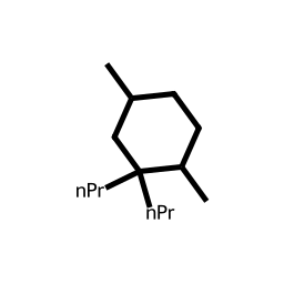 CCCC1(CCC)CC(C)CCC1C